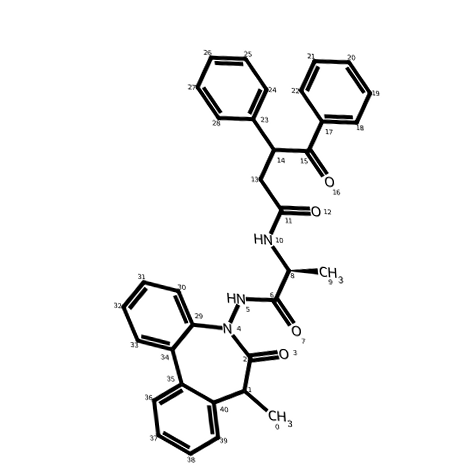 CC1C(=O)N(NC(=O)[C@H](C)NC(=O)CC(C(=O)c2ccccc2)c2ccccc2)c2ccccc2-c2ccccc21